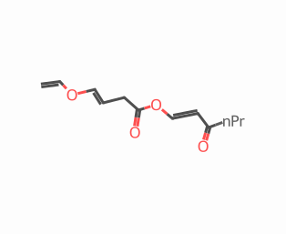 C=COC=CCC(=O)OC=CC(=O)CCC